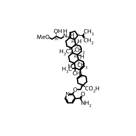 C=C(C)[C@@H]1CC[C@]2(NC[C@@H](O)COC)CC[C@]3(C)[C@H](CC[C@@H]4[C@@]5(C)CC=C(C6=CC[C@](COc7ncccc7C(N)=O)(C(=O)O)CC6)C(C)(C)[C@@H]5CC[C@]43C)[C@@H]12